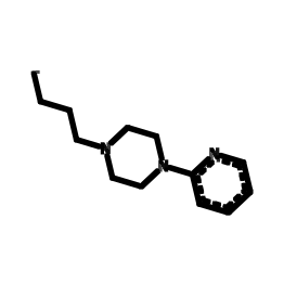 [CH2]CCCN1CCN(c2ccccn2)CC1